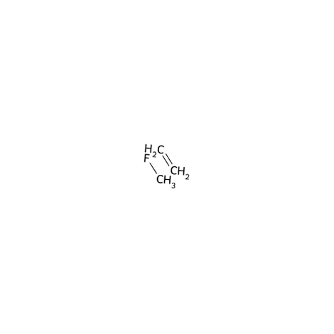 C=C.CF